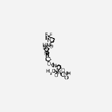 Cn1c(=O)n(C2CCC(=O)NC2=O)c2cccc(N3CC(O[C@H]4CC[C@H](n5cc6cc(NC(=O)c7cccc(C(F)(F)F)n7)ncc6n5)CC4)C3)c21